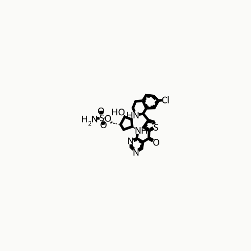 NS(=O)(=O)OC[C@H]1C[C@@H](Nc2ncncc2C(=O)c2cc(C3NCCc4ccc(Cl)cc43)cs2)C[C@@H]1O